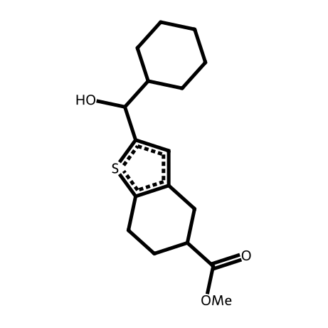 COC(=O)C1CCc2sc(C(O)C3CCCCC3)cc2C1